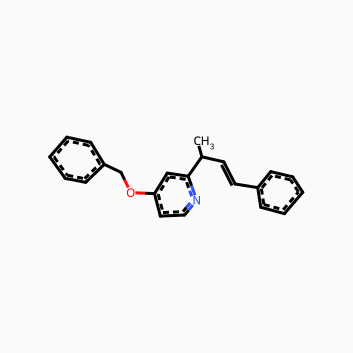 CC(C=Cc1ccccc1)c1cc(OCc2ccccc2)ccn1